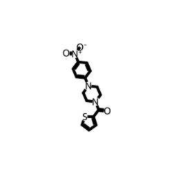 O=C(c1cccs1)N1CCN(c2ccc([N+](=O)[O-])cc2)CC1